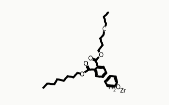 CCCCCCCCOC(=O)c1ccccc1C(=O)OCCCCCCCC.O.[Zr].c1ccccc1